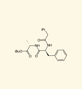 CC(C)COC(=O)[C@H](C)NC(=O)[C@H](Cc1ccccc1)NC(=O)CC(C)C